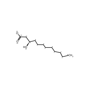 CCCCCCCCC[C@@H](O)CC([O])=O